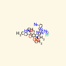 CNC(=O)c1c(C2=CCC(C)C=C2)oc2cc(N(C)S(C)(=O)=O)c(-c3ccc4c(n3)C3=CC5C(=CC=CC5C#N)N3C(CN3CCC(F)(F)C3)=N4)cc12